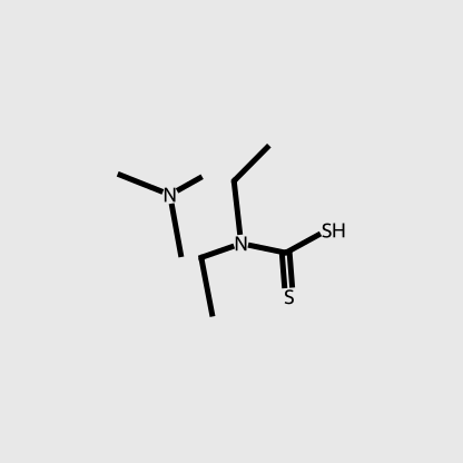 CCN(CC)C(=S)S.CN(C)C